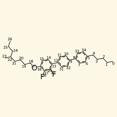 CCCCCc1ccc(-c2ccc(-c3ccc(OCCCCC(C)CCC)c(F)c3F)cc2)cc1